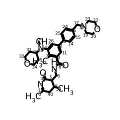 CC1=NC(=O)C(CNC(=O)c2cc(-c3ccc(CN4CCOCC4)cc3)cc(N(C)C3CCOCC3)c2C)C(C)C1